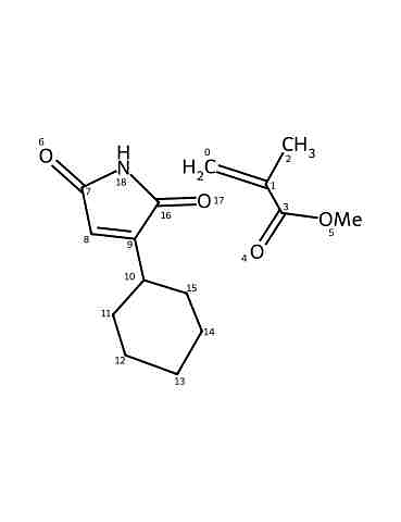 C=C(C)C(=O)OC.O=C1C=C(C2CCCCC2)C(=O)N1